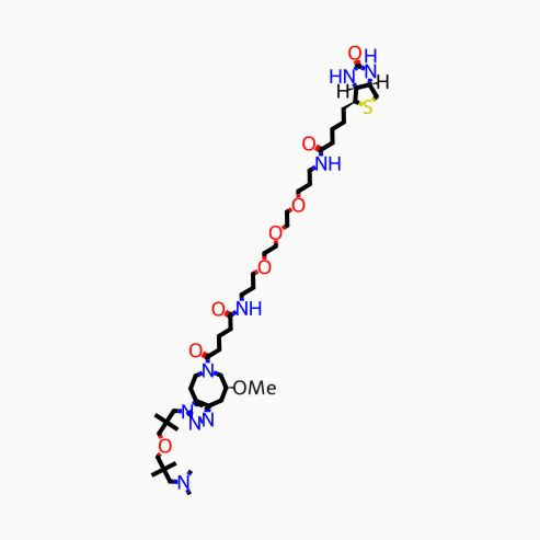 CO[C@@H]1Cc2nnn(CC(C)(C)COCC(C)(C)CN(C)C)c2CCN(C(=O)CCCC(=O)NCCCOCCOCCOCCCNC(=O)CCCC[C@@H]2SC[C@@H]3NC(=O)N[C@@H]32)C1